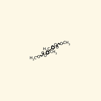 CCOC=CC(=O)Oc1ccc(C(C)(C)c2ccc(OC(=O)C=COCC)cc2)cc1